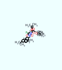 CCCC1(CCC)OC2[C@@H](CO[Si](C)(C)C(C)(C)C)O[C@@H](n3cc(F)c(=O)n(CC4CC[C@]5(C)[C@H]6CCC(C(C)C)=CC6=CC[C@H]5[C@H]4C)c3=O)[C@H]2O1